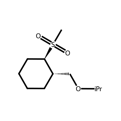 CC(C)OC[C@@H]1CCCC[C@H]1S(C)(=O)=O